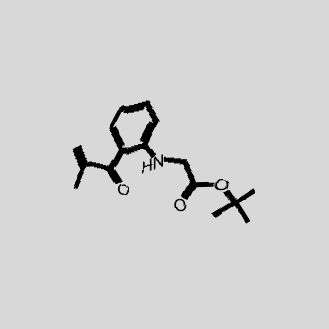 C=C(C)C(=O)c1ccccc1NCC(=O)OC(C)(C)C